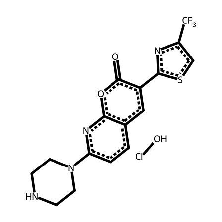 O=c1oc2nc(N3CCNCC3)ccc2cc1-c1nc(C(F)(F)F)cs1.OCl